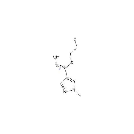 Cn1cc(/C(=N/O)SCCCl)cn1